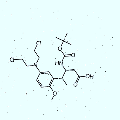 COc1ccc(N(CCCl)CCCl)cc1C(C)[C@H](CC(=O)O)NC(=O)OC(C)(C)C